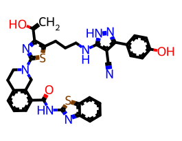 C=C(O)c1nc(N2CCc3cccc(C(=O)Nc4nc5ccccc5s4)c3C2)sc1CCCNc1[nH]nc(-c2ccc(O)cc2)c1C#N